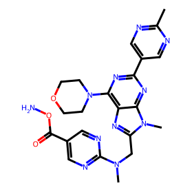 Cc1ncc(-c2nc(N3CCOCC3)c3nc(CN(C)c4ncc(C(=O)ON)cn4)n(C)c3n2)cn1